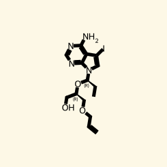 C=CCOC[C@@H](CO)O[C@H](CC)n1cc(I)c2c(N)ncnc21